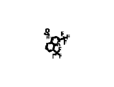 FC(F)(F)c1cc([C@@H]2CO2)c2cccc(C(F)(F)F)c2n1